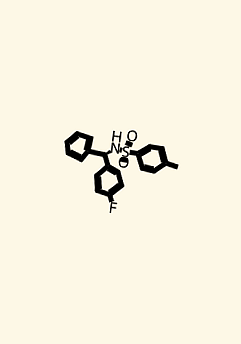 Cc1ccc(S(=O)(=O)N[C@H](c2ccccc2)c2ccc(F)cc2)cc1